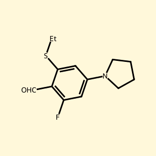 CCSc1cc(N2CCCC2)cc(F)c1C=O